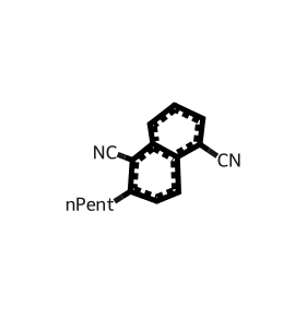 CCCCCc1ccc2c(C#N)cccc2c1C#N